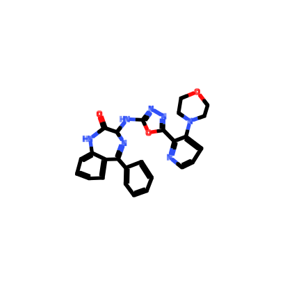 O=C1Nc2ccccc2C(c2ccccc2)=NC1Nc1nnc(-c2ncccc2N2CCOCC2)o1